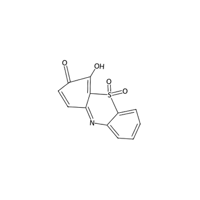 O=C1C=CC2=Nc3ccccc3S(=O)(=O)C2=C1O